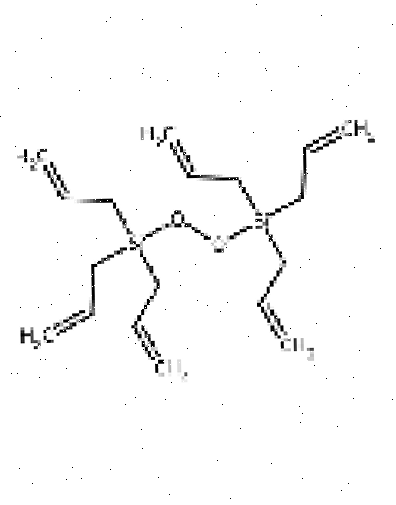 C=CC[Si](CC=C)(CC=C)OO[Si](CC=C)(CC=C)CC=C